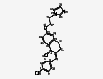 O=C1C(=Cc2ccc(Cl)cc2)CCc2cc(OCCn3ccnc3)ccc21